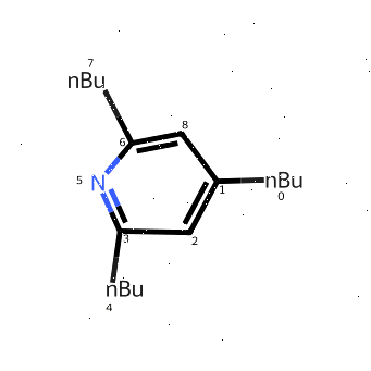 CCCCc1cc(CCCC)nc(CCCC)c1